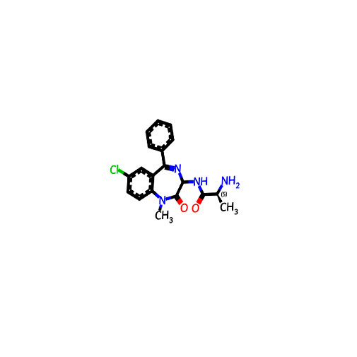 C[C@H](N)C(=O)NC1N=C(c2ccccc2)c2cc(Cl)ccc2N(C)C1=O